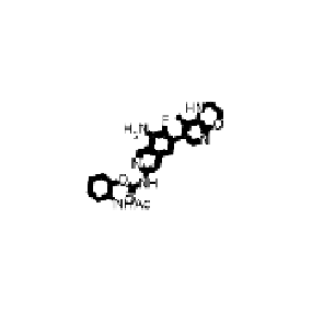 CC(=O)NC1CCCCC1OC(=O)Nc1cc2cc(-c3cnc4c(c3C)NCCO4)c(F)c(N)c2cn1